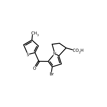 Cc1csc(C(=O)c2c(Br)cc3n2CCC3C(=O)O)c1